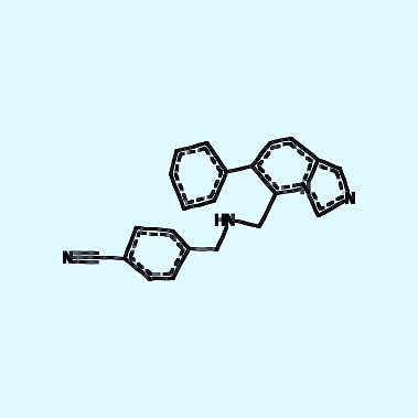 N#Cc1ccc(CNCc2c(-c3ccccc3)ccc3cncn23)cc1